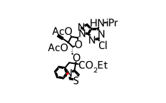 C#C[C@@]1(OC(C)=O)[C@@H](COC(Cc2ccccc2)(C(=O)OCC)c2cscn2)O[C@@H](n2ncc3c(NC(C)C)nc(Cl)nc32)[C@@H]1OC(C)=O